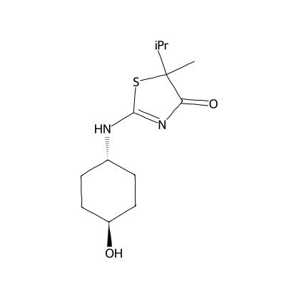 CC(C)C1(C)SC(N[C@H]2CC[C@H](O)CC2)=NC1=O